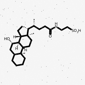 C[C@H](CCC(=O)NCCS(=O)(=O)O)[C@H]1CC[C@H]2[C@@H]3[C@@H](O)CC4CCCC[C@]4(C)[C@H]3CC[C@]12C